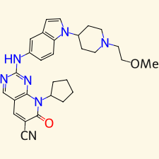 COCCN1CCC(n2ccc3cc(Nc4ncc5cc(C#N)c(=O)n(C6CCCC6)c5n4)ccc32)CC1